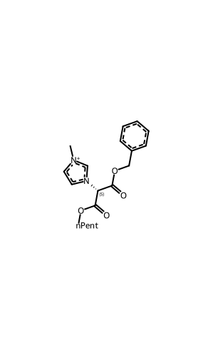 CCCCCOC(=O)[C@@H](C(=O)OCc1ccccc1)n1cc[n+](C)c1